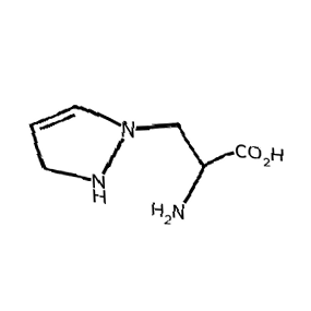 NC(CN1C=CCN1)C(=O)O